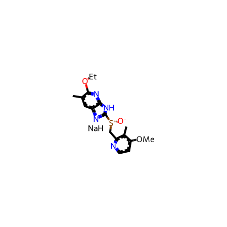 CCOc1nc2[nH]c([S+]([O-])Cc3nccc(OC)c3C)nc2cc1C.[NaH]